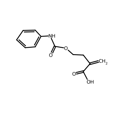 C=C(CCOC(=O)Nc1ccccc1)C(=O)O